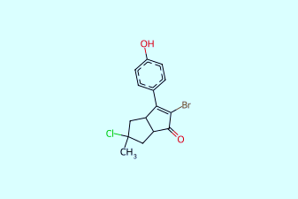 CC1(Cl)CC2C(=O)C(Br)=C(c3ccc(O)cc3)C2C1